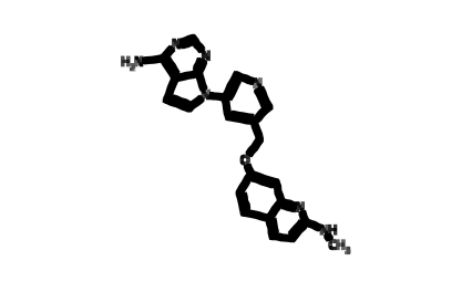 CNc1ccc2ccc(OCc3cncc(-n4ccc5c(N)ncnc54)c3)cc2n1